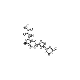 CNC(=O)C(=O)Nc1c[nH]c2ccc(-c3cnn(-c4cccc(Cl)c4)c3)cc12